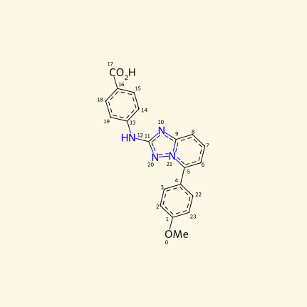 COc1ccc(-c2cccc3nc(Nc4ccc(C(=O)O)cc4)nn23)cc1